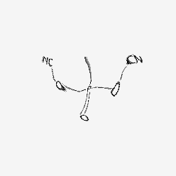 CP(=O)(OC#N)OC#N